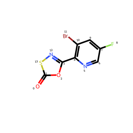 O=c1oc(-c2ncc(F)cc2Br)ns1